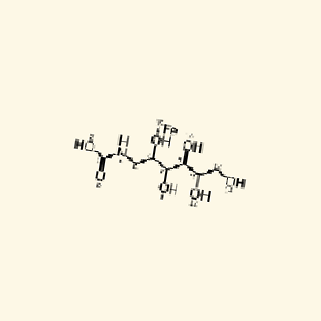 O=C(O)NCC(O)C(O)C(O)C(O)CO.[Fe]